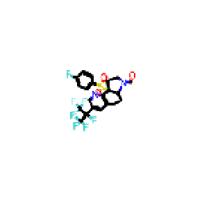 O=CN1CCC2(S(=O)(=O)c3ccc(F)cc3)c3ncc(C(F)(C(F)(F)F)C(F)(F)F)cc3CCC12